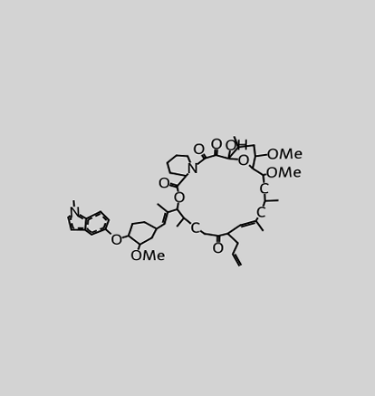 C=CCC1/C=C(\C)CC(C)CC(OC)C2OC(O)(C(=O)C(=O)N3CCCCC3C(=O)OC(C(C)=CC3CCC(Oc4ccc5c(ccn5C)c4)C(OC)C3)C(C)CCC1=O)C(C)CC2OC